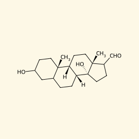 C[C@]12CCC(O)CC1CC[C@@H]1[C@H]2CC[C@]2(C)C(C=O)CC[C@@]12O